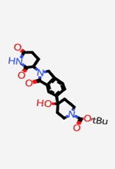 CC(C)(C)OC(=O)N1CCC(O)(c2ccc3c(c2)C(=O)N(C2CCC(=O)NC2=O)C3)CC1